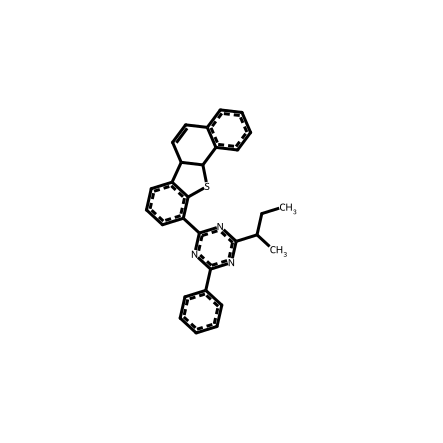 CCC(C)c1nc(-c2ccccc2)nc(-c2cccc3c2SC2c4ccccc4C=CC32)n1